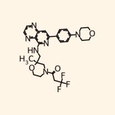 C[C@@]1(CNc2nc(-c3ccc(N4CCOCC4)cc3)cc3nccnc23)CN(C(=O)CC(F)(F)F)CCO1